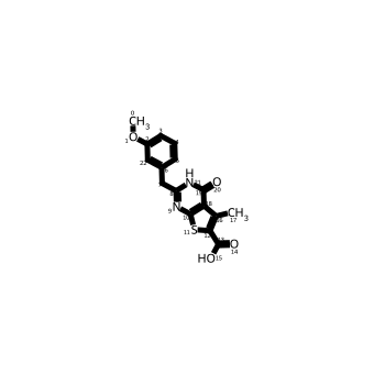 COc1cccc(Cc2nc3sc(C(=O)O)c(C)c3c(=O)[nH]2)c1